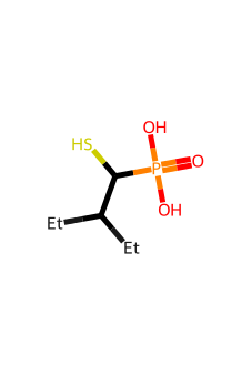 CCC(CC)C(S)P(=O)(O)O